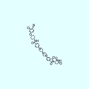 N#Cc1ccc(O[C@H]2CC[C@H](NC(=O)c3ccc(N4CCC(N5CCN(c6ccc7c(c6)C(=O)N(C6CCC(=O)NC6=O)C7=O)CC5)CC4)cc3)CC2)cc1Cl